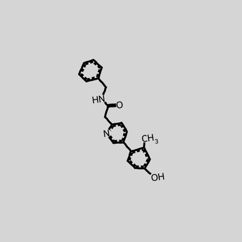 Cc1cc(O)ccc1-c1ccc(CC(=O)NCc2ccccc2)nc1